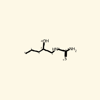 CCCC(O)CNC(N)=S